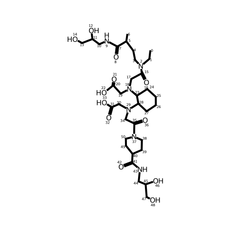 CCN(CCC(C)C(=O)NCC(O)CO)C(=O)CN(CC(=O)O)C1CCCCC1N(CC(=O)O)CC(=O)N1CCC(C(=O)NCC(O)CO)CC1